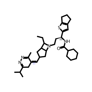 CCC1C2CC(/C=C3/CC(C(C)C)=NN=C3C)CC2N1CC[C@H](NC(=O)C1CCCCC1)c1cc2c(s1)CCC2